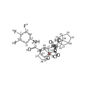 O=C(Nc1cc(F)c(F)c(F)c1)c1ccc(Cl)c(S(=O)(=O)C2CC3CCC(C2)C3(O)CNC(=O)C2CCCCO2)c1